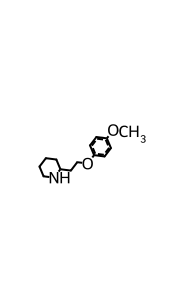 COc1ccc(OCCC2CCCCN2)cc1